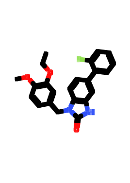 CCOc1cc(Cn2c(=O)[nH]c3cc(-c4ccccc4F)ccc32)ccc1OC